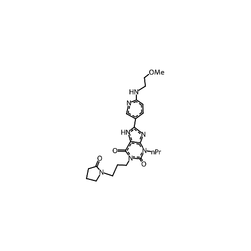 CCCn1c(=O)n(CCCN2CCCC2=O)c(=O)c2[nH]c(-c3ccc(NCCOC)nc3)nc21